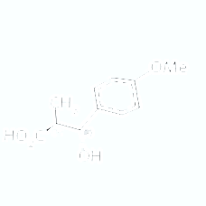 COc1ccc([C@H](O)[C@H](C)C(=O)O)cc1